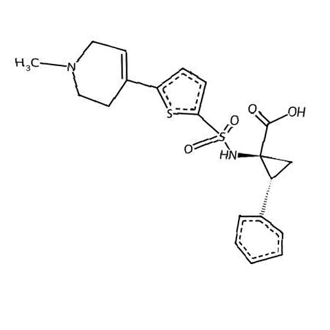 CN1CC=C(c2ccc(S(=O)(=O)N[C@@]3(C(=O)O)C[C@@H]3c3ccccc3)s2)CC1